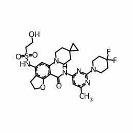 Cc1cc(NC(=O)c2c(N3CCC4(CC3)CC4)cc(NS(=O)(=O)CCO)c3c2OCC3)nc(N2CCC(F)(F)CC2)n1